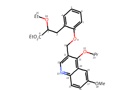 CCOC(=O)C(Cc1ccccc1OCc1cnc2ccc(OC)cc2c1OC(C)C)OCC